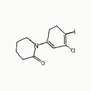 O=C1CCCCN1C1=CC(Cl)=C(I)CC1